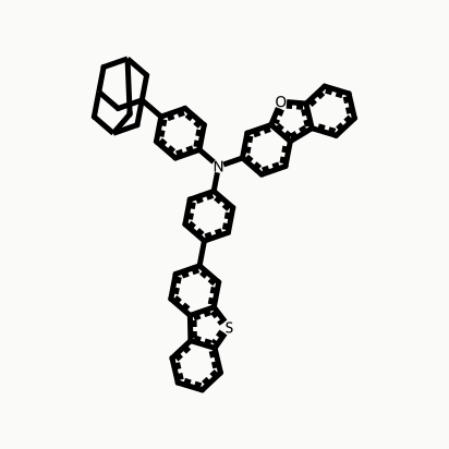 c1ccc2c(c1)oc1cc(N(c3ccc(-c4ccc5c(c4)sc4ccccc45)cc3)c3ccc(C45CC6CC(CC(C6)C4)C5)cc3)ccc12